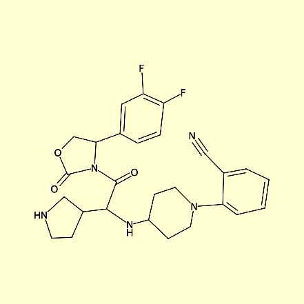 N#Cc1ccccc1N1CCC(NC(C(=O)N2C(=O)OCC2c2ccc(F)c(F)c2)C2CCNC2)CC1